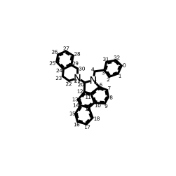 c1ccc(CN2c3cccc4c3c(cc3ccccc34)C2N2CCc3ccccc3C2)cc1